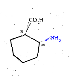 N[C@@H]1CCCC[C@@H]1C(=O)O